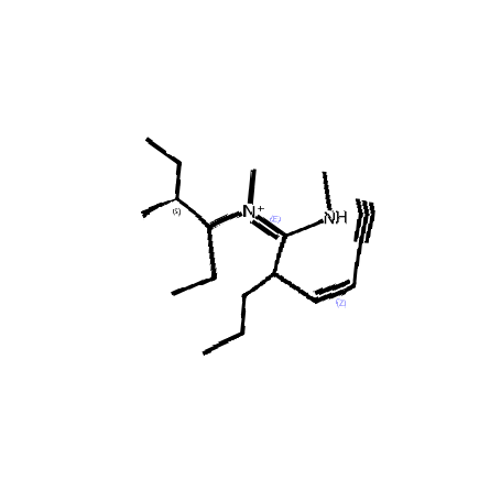 C#C/C=C\C(CCC)/C(NC)=[N+](/C)C(CC)[C@@H](C)CC